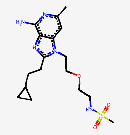 Cc1cc2c(nc(CCC3CC3)n2CCOCCNS(C)(=O)=O)c(N)n1